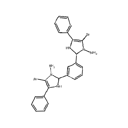 NN1C(Br)=C(c2ccccc2)NC1c1cccc(C2NC(c3ccccc3)=C(Br)N2N)c1